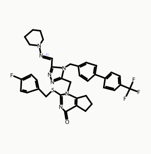 O=c1nc(SCc2ccc(F)cc2)n(Cc2nnc(/C=N/N3CCCCC3)n2Cc2ccc(-c3ccc(C(F)(F)F)cc3)cc2)c2c1CCC2